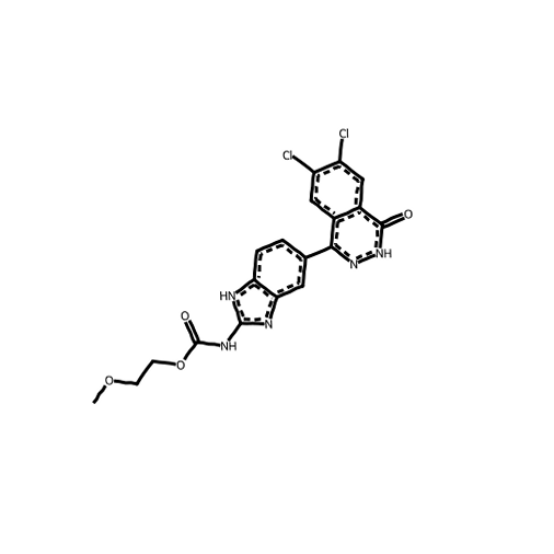 COCCOC(=O)Nc1nc2cc(-c3n[nH]c(=O)c4cc(Cl)c(Cl)cc34)ccc2[nH]1